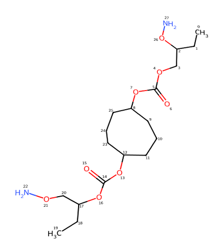 CCC(COC(=O)OC1CCCC(OC(=O)OC(CC)CON)CCC1)ON